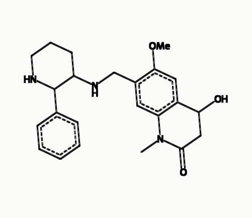 COc1cc2c(cc1CNC1CCCNC1c1ccccc1)N(C)C(=O)CC2O